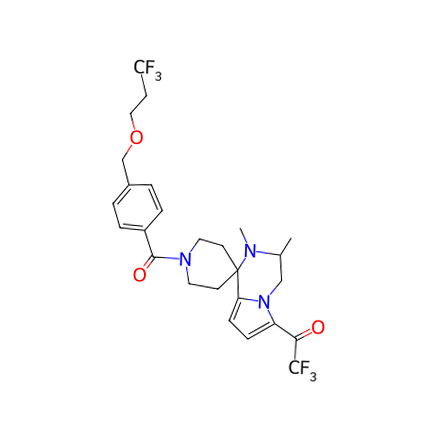 CC1Cn2c(C(=O)C(F)(F)F)ccc2C2(CCN(C(=O)c3ccc(COCCC(F)(F)F)cc3)CC2)N1C